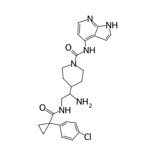 NC(CNC(=O)C1(c2ccc(Cl)cc2)CC1)C1CCN(C(=O)Nc2ccnc3[nH]ccc23)CC1